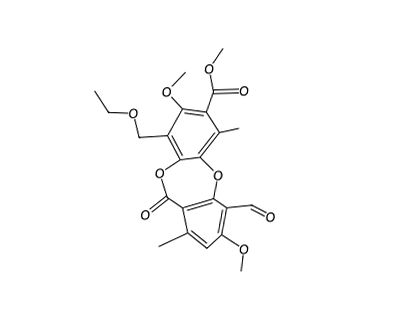 CCOCc1c2c(c(C)c(C(=O)OC)c1OC)Oc1c(C=O)c(OC)cc(C)c1C(=O)O2